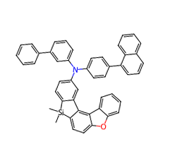 C[Si]1(C)c2ccc(N(c3ccc(-c4cccc5ccccc45)cc3)c3cccc(-c4ccccc4)c3)cc2-c2c1ccc1oc3ccccc3c21